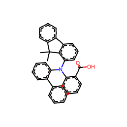 CC1(C)c2ccccc2-c2cccc(N(c3ccccc3C(=O)O)c3ccccc3-c3ccccc3)c21